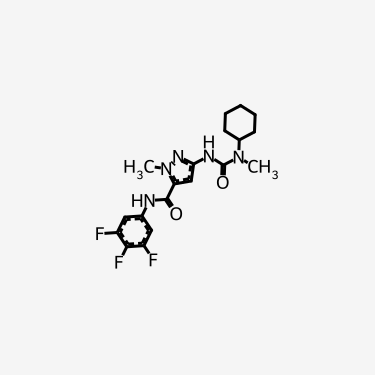 CN(C(=O)Nc1cc(C(=O)Nc2cc(F)c(F)c(F)c2)n(C)n1)C1CCCCC1